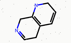 C1=CC2=C(CN=CC2)[N]C1